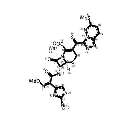 CO/N=C(\C(=O)N[C@@H]1C(=O)N2C(C(=O)[O-])=C(C(=S)c3nnc4ccc(SC)nn34)CS[C@@H]12)c1csc(N)n1.[Na+]